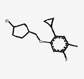 CCC1CCC(COc2cc(F)c(C)cc2C2CC2)C1